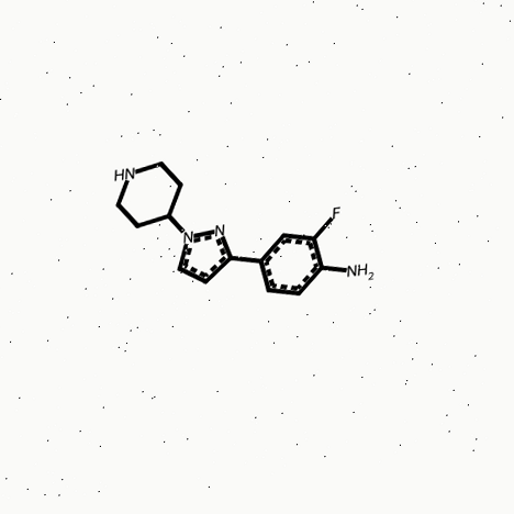 Nc1ccc(-c2ccn(C3CCNCC3)n2)cc1F